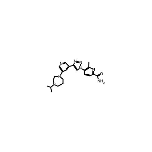 Cc1nc(C(N)=O)[c]cc1-n1cc(-c2cncc(N3CCCN(C(C)C)CC3)c2)nn1